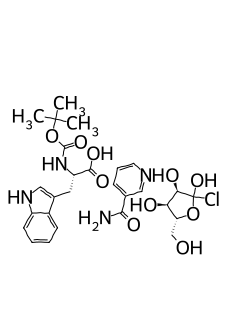 CC(C)(C)OC(=O)N[C@@H](Cc1c[nH]c2ccccc12)C(=O)O.NC(=O)c1cccnc1.OC[C@H]1OC(O)(Cl)[C@H](O)[C@@H]1O